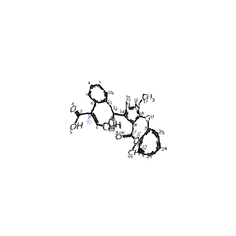 C/C=C(/C(=O)O)c1ccccc1C(O)c1nn(C)c(Oc2ccccc2)c1C(=O)OC